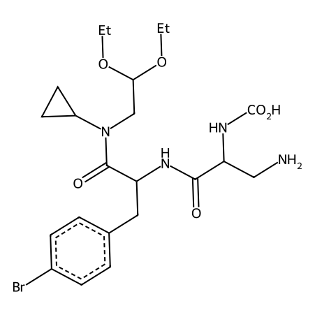 CCOC(CN(C(=O)C(Cc1ccc(Br)cc1)NC(=O)C(CN)NC(=O)O)C1CC1)OCC